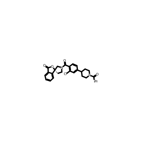 CC(C)C(=O)N1CCC(c2ccc(C(=O)N3CC[C@@]4(C3)OC(=O)c3ccccc34)c(Cl)c2)CC1